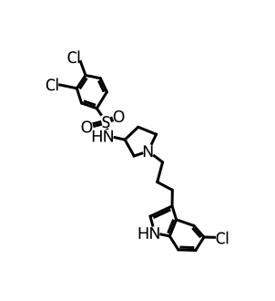 O=S(=O)(NC1CCN(CCCc2c[nH]c3ccc(Cl)cc23)C1)c1ccc(Cl)c(Cl)c1